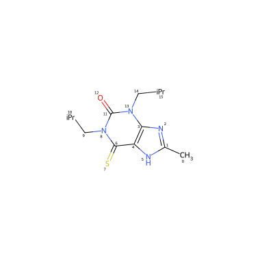 Cc1nc2c([nH]1)c(=S)n(CC(C)C)c(=O)n2CC(C)C